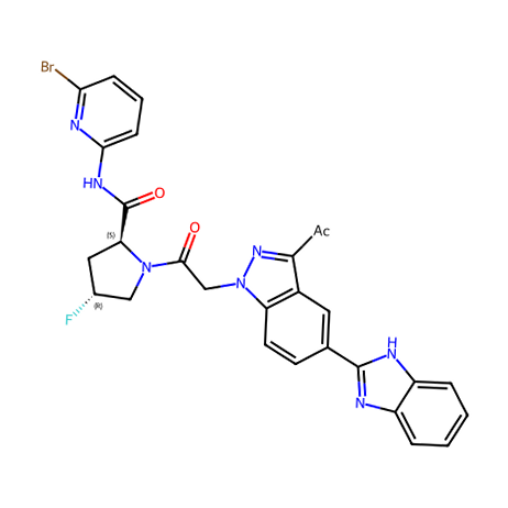 CC(=O)c1nn(CC(=O)N2C[C@H](F)C[C@H]2C(=O)Nc2cccc(Br)n2)c2ccc(-c3nc4ccccc4[nH]3)cc12